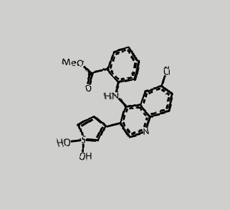 COC(=O)c1ccccc1Nc1c(C2=CS(O)(O)C=C2)cnc2ccc(Cl)cc12